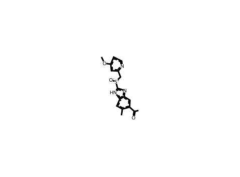 COc1ccnc(C[S+]([O-])c2nc3cc(C(C)=O)c(C)cc3[nH]2)c1